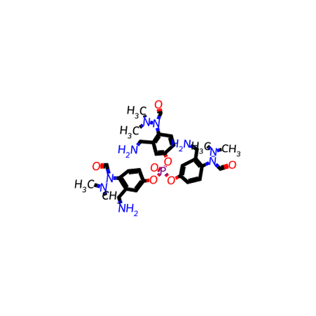 CN(C)N(C=O)c1ccc(OP(=O)(Oc2ccc(N(C=O)N(C)C)c(CN)c2)Oc2ccc(N(C=O)N(C)C)c(CN)c2)cc1CN